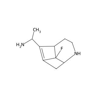 CC(N)C1=C2CC3NCCC1C23F